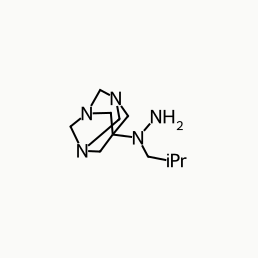 CC(C)CN(N)C12CN3CN(CN(C3)C1)C2